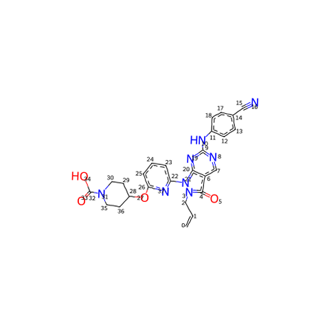 C=CCn1c(=O)c2cnc(Nc3ccc(C#N)cc3)nc2n1-c1cccc(OC2CCN(C(=O)O)CC2)n1